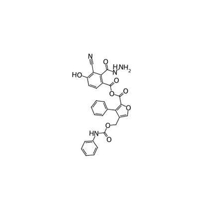 N#Cc1c(O)ccc(C(=O)OC(=O)c2occ(COC(=O)Nc3ccccc3)c2-c2ccccc2)c1C(=O)NN